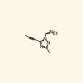 CC#Cc1nc(C)nn1/C=N\CC